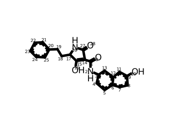 O=C(Nc1ccc2ccc(O)cc2c1)C1=C(O)C(CCc2ccccc2)NC1=O